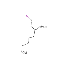 CCCCCCCCCCCCC(CCI)CCCCC